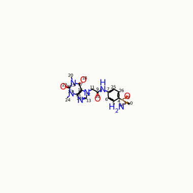 C=S(N)(=O)c1ccc(NC(=O)Cn2cnc3c2c(=O)n(C)c(=O)n3C)cc1